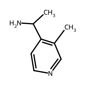 Cc1cnccc1C(C)N